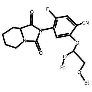 CCOCC(OCC)Oc1cc(N2C(=O)C3CCCCN3C2=O)c(F)cc1C#N